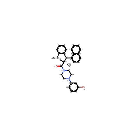 COc1ccccc1C(c1cccc2ccccc12)[C@@](C)(C#N)C(=O)N1CCN(c2cccc(Br)c2)CC1